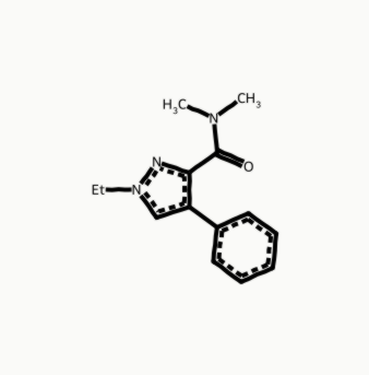 CCn1cc(-c2ccccc2)c(C(=O)N(C)C)n1